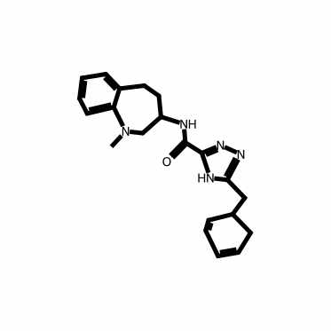 CN1CC(NC(=O)c2nnc(CC3C=CC=CC3)[nH]2)CCc2ccccc21